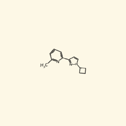 Cc1cccc(-c2ccn(C3CCC3)n2)n1